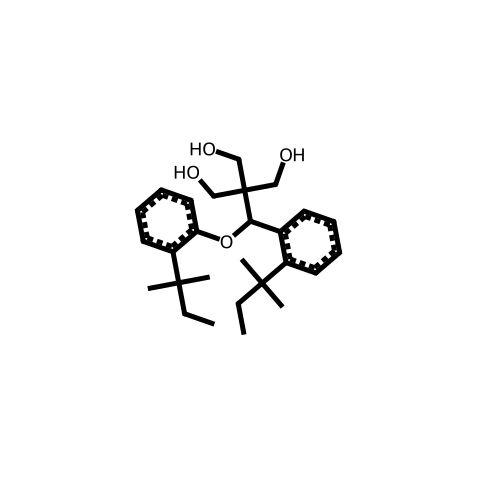 CCC(C)(C)c1ccccc1OC(c1ccccc1C(C)(C)CC)C(CO)(CO)CO